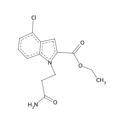 CCOC(=O)c1cc2c(Cl)cccc2n1CCC(N)=O